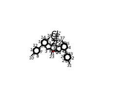 CCC1=Cc2c(-c3ccc(C)cc3)ccc(C)c2[CH]1[Zr+2]1([CH]2C(CC)=Cc3c(-c4ccc(C)cc4)ccc(C)c32)[CH2][CH2]1.[Cl-].[Cl-]